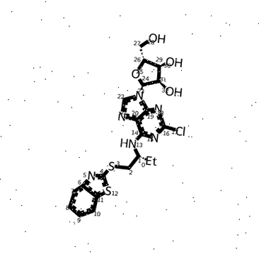 CC[C@H](CSc1nc2ccccc2s1)Nc1nc(Cl)nc2c1ncn2[C@@H]1O[C@H](CO)[C@@H](O)[C@H]1O